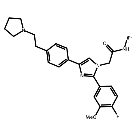 COc1cc(-c2nc(-c3ccc(CCN4CCCC4)cc3)cn2CC(=O)NC(C)C)ccc1F